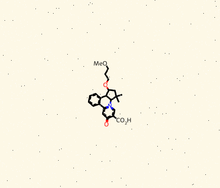 COCCCOC1CC(C)(C)C2C1c1ccccc1-c1cc(=O)c(C(=O)O)cn12